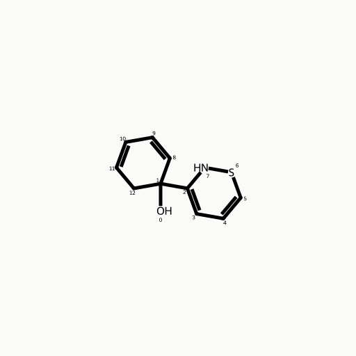 OC1(C2=CC=CSN2)C=CC=CC1